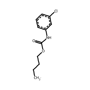 [CH2]CCCOC(=O)Nc1cccc(Cl)c1